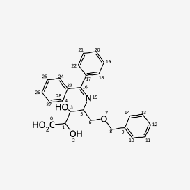 O=C(O)C(O)C(O)C(COCc1ccccc1)N=C(c1ccccc1)c1ccccc1